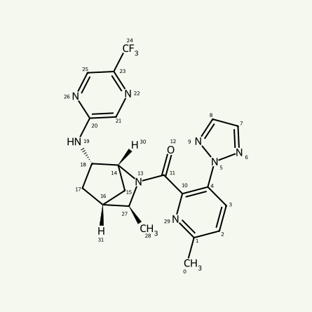 Cc1ccc(-n2nccn2)c(C(=O)N2[C@@H]3C[C@@H](C[C@@H]3Nc3cnc(C(F)(F)F)cn3)[C@@H]2C)n1